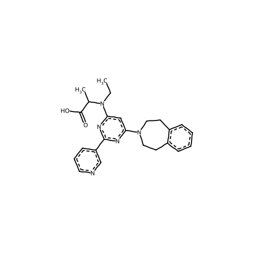 CCN(c1cc(N2CCc3ccccc3CC2)nc(-c2cccnc2)n1)C(C)C(=O)O